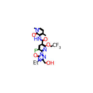 CCn1c(CO)nn(-c2nc(OCC(F)(F)F)c(C(=O)Nc3c(C)ccn(C)c3=O)cc2F)c1=O